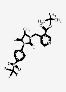 CC1C(=O)N(c2ccc(S(=O)(=O)C(F)(F)F)cc2)C(=O)N1Cc1ccncc1C(=O)OC(C)(C)C